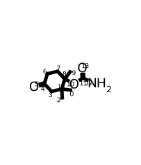 CC1(C)CC(=O)CCC1(C)OC(N)=O